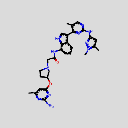 Cc1cc(OC2CCN(CC(=O)Nc3cccc4c(-c5nc(Nc6cc(C)n(C)n6)ncc5C)c[nH]c34)C2)nc(N)n1